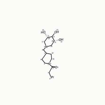 CC(C)CC(=O)N1CCC(CN2C[C@@H](O)C(O)[C@@H](O)C2)CC1